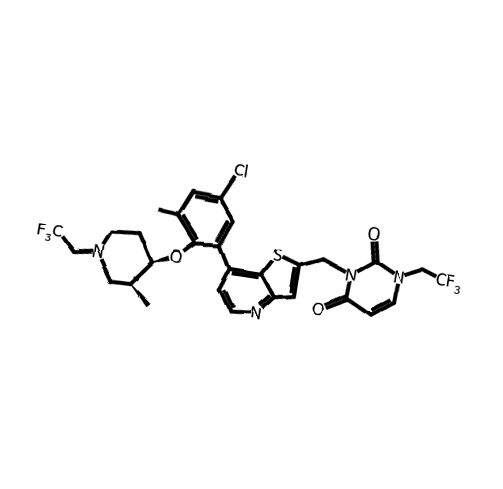 Cc1cc(Cl)cc(-c2ccnc3cc(Cn4c(=O)ccn(CC(F)(F)F)c4=O)sc23)c1O[C@@H]1CCN(CC(F)(F)F)C[C@@H]1C